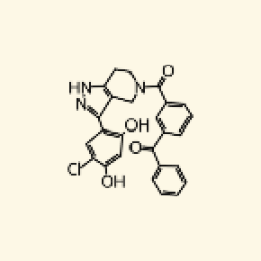 O=C(c1ccccc1)c1cccc(C(=O)N2CCc3[nH]nc(-c4cc(Cl)c(O)cc4O)c3C2)c1